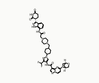 O=C1CC[C@H](c2n[nH]c3c(NC(=O)CN4CCN(CC5CCC(n6cc(NC(=O)c7cnn8ccc(N9C[C@@H]%10C[C@H]9CO%10)nc78)c(C(F)F)n6)CC5)CC4)cccc23)C(=O)N1